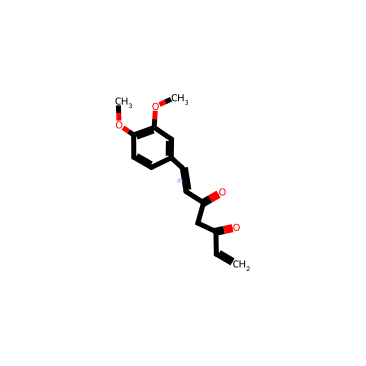 C=CC(=O)CC(=O)/C=C/c1ccc(OC)c(OC)c1